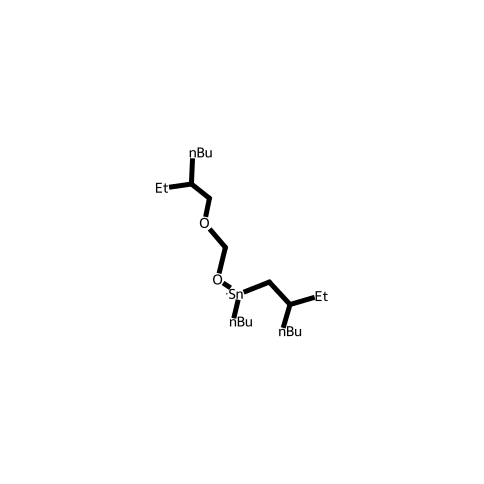 CCCCC(CC)COC[O][Sn]([CH2]CCC)[CH2]C(CC)CCCC